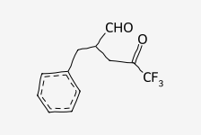 O=CC(CC(=O)C(F)(F)F)Cc1ccccc1